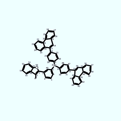 Cc1c(-c2cccc(N(c3ccc(-c4cc5ccccc5c5ccccc45)cc3)c3ccc(-c4cc5ccccc5c5ccccc45)cc3)c2)oc2ccccc12